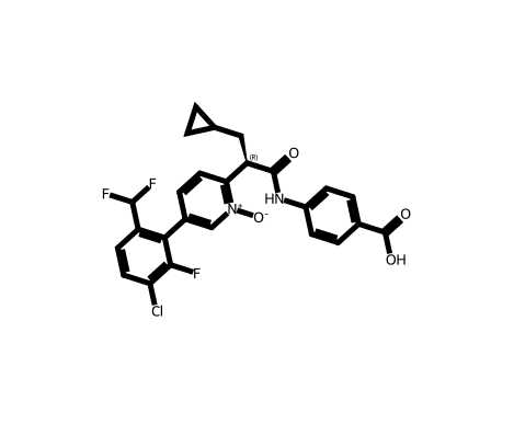 O=C(O)c1ccc(NC(=O)[C@H](CC2CC2)c2ccc(-c3c(C(F)F)ccc(Cl)c3F)c[n+]2[O-])cc1